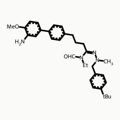 CCN(C=O)/C(CCCc1ccc(-c2ccc(OC)c(N)c2)cc1)=N\N(C)Cc1ccc(C(C)(C)C)cc1